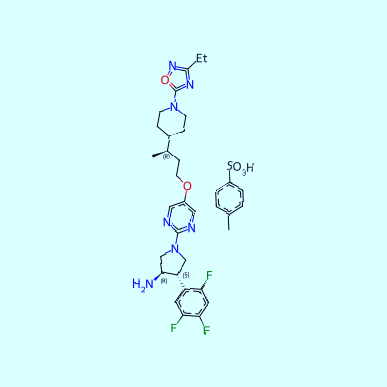 CCc1noc(N2CCC([C@H](C)CCOc3cnc(N4C[C@H](c5cc(F)c(F)cc5F)[C@@H](N)C4)nc3)CC2)n1.Cc1ccc(S(=O)(=O)O)cc1